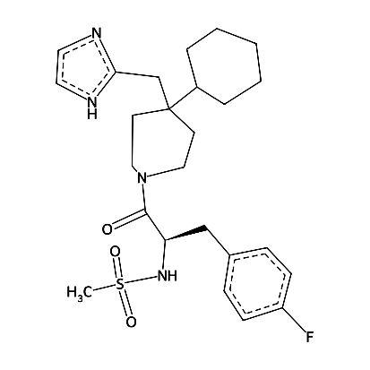 CS(=O)(=O)N[C@H](Cc1ccc(F)cc1)C(=O)N1CCC(Cc2ncc[nH]2)(C2CCCCC2)CC1